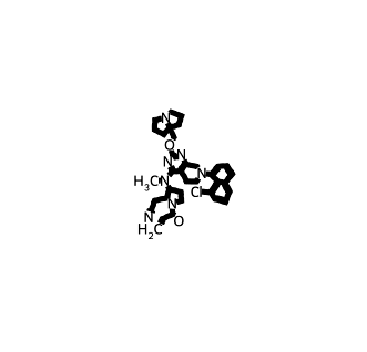 C=CC(=O)N1CCC(N(C)c2nc(OCC34CCCN3CCC4)nc3c2CCN(c2cccc4cccc(Cl)c24)C3)C1CC#N